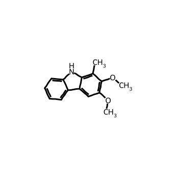 COc1cc2c([nH]c3ccccc32)c(C)c1OC